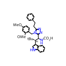 COc1ccc(Cn2c(CCc3ccccc3)nnc2C(NC(=O)O)[C@@H](c2c[nH]c3ccccc23)C(C)(C)C)c(OC)c1